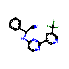 N#CC(Nc1ccnc(-c2cncc(C(F)(F)F)c2)n1)c1ccccc1